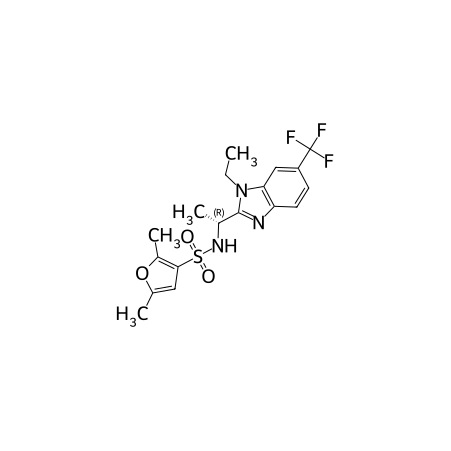 CCn1c([C@@H](C)NS(=O)(=O)c2cc(C)oc2C)nc2ccc(C(F)(F)F)cc21